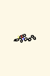 c1cc2sc3ccccc3c2c(-c2ccccc2N(C2=CC=C(c3cccc(-c4cccc5ccccc45)c3)CC2)c2cccc3ccccc23)c#1